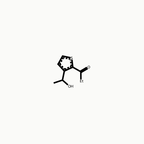 CCC(=O)c1sccc1C(C)O